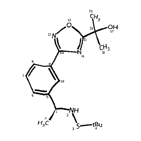 C[C@H](NSC(C)(C)C)c1cccc(-c2noc(C(C)(C)O)n2)c1